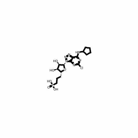 O=P(O)(O)CCC[C@H]1O[C@@H](n2nnc3c(NC4CCCC4)nc(Cl)nc32)[C@H](O)[C@@H]1O